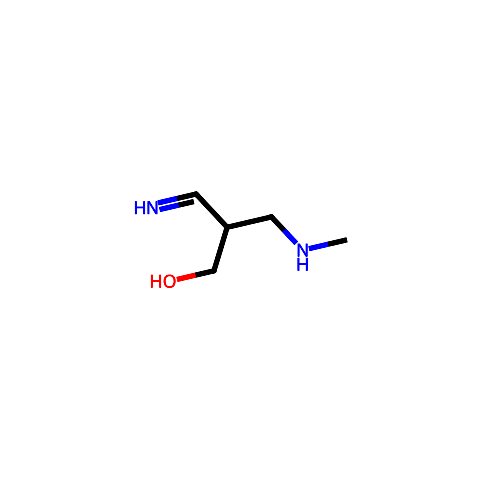 CNCC(C=N)CO